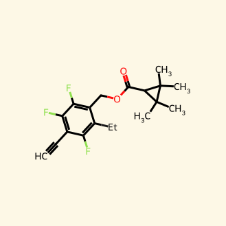 C#Cc1c(F)c(F)c(COC(=O)C2C(C)(C)C2(C)C)c(CC)c1F